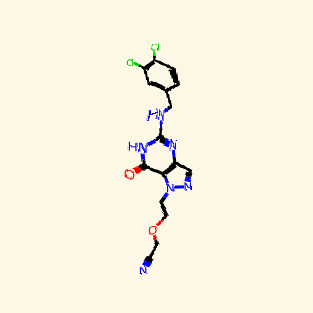 N#CCOCCn1ncc2nc(NCc3ccc(Cl)c(Cl)c3)[nH]c(=O)c21